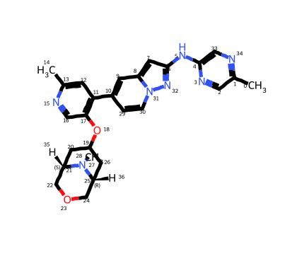 Cc1cnc(Nc2cc3cc(-c4cc(C)ncc4OC4C[C@H]5COC[C@@H](C4)N5C)ccn3n2)cn1